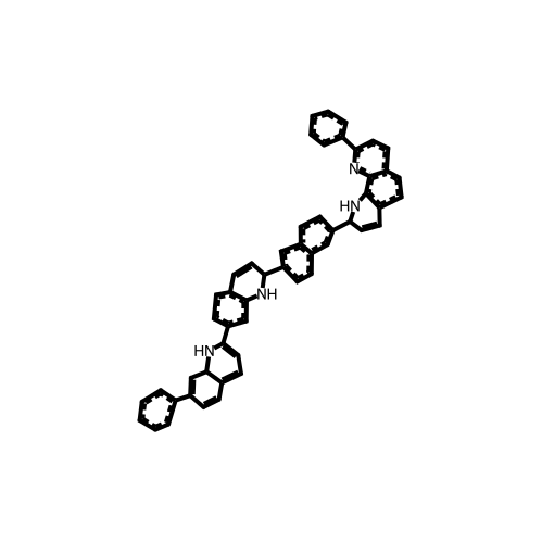 C1=CC2=CC=C(c3ccc4c(c3)NC(c3ccc5cc(C6C=Cc7ccc8ccc(-c9ccccc9)nc8c7N6)ccc5c3)C=C4)NC2C=C1c1ccccc1